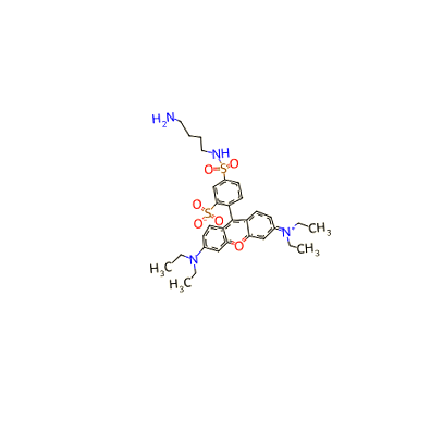 CCN(CC)c1ccc2c(-c3ccc(S(=O)(=O)NCCCCN)cc3S(=O)(=O)[O-])c3ccc(=[N+](CC)CC)cc-3oc2c1